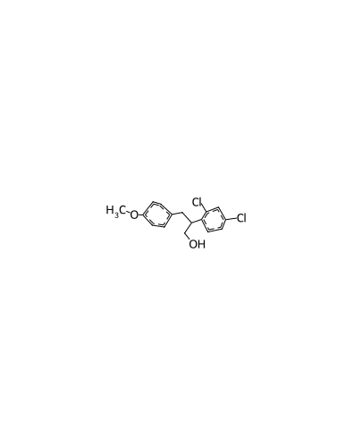 COc1ccc(CC(CO)c2ccc(Cl)cc2Cl)cc1